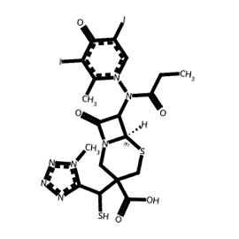 CCC(=O)N(C1C(=O)N2CC(C(=O)O)(C(S)c3nnnn3C)CS[C@H]12)n1cc(I)c(=O)c(I)c1C